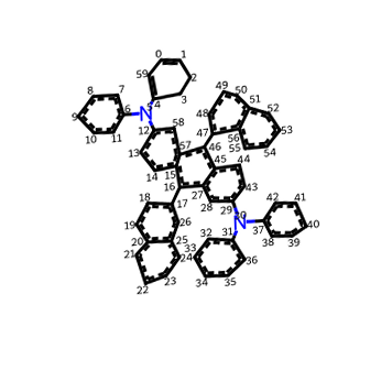 C1=CCCC(N(c2ccccc2)c2ccc3c(-c4ccc5ccccc5c4)c4cc(N(c5ccccc5)c5ccccc5)ccc4c(-c4cccc5ccccc45)c3c2)=C1